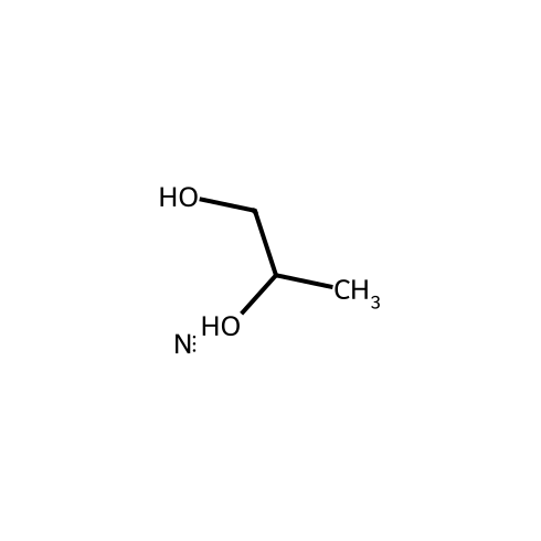 CC(O)CO.[N]